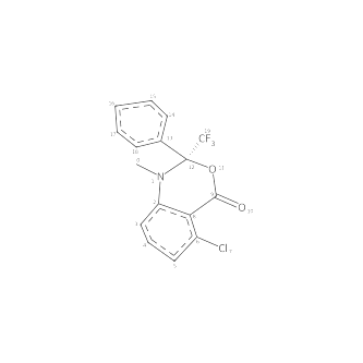 CN1c2cccc(Cl)c2C(=O)O[C@@]1(c1ccccc1)C(F)(F)F